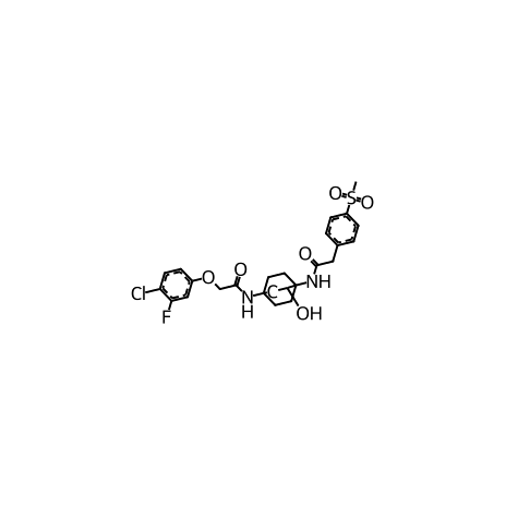 CS(=O)(=O)c1ccc(CC(=O)NC23CCC(NC(=O)COc4ccc(Cl)c(F)c4)(CC2)CC3O)cc1